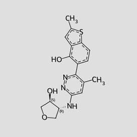 Cc1cc2c(O)c(-c3nnc(N[C@@H]4COC[C@H]4O)cc3C)ccc2s1